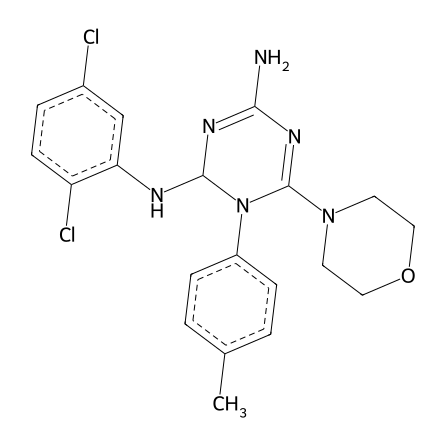 Cc1ccc(N2C(N3CCOCC3)=NC(N)=NC2Nc2cc(Cl)ccc2Cl)cc1